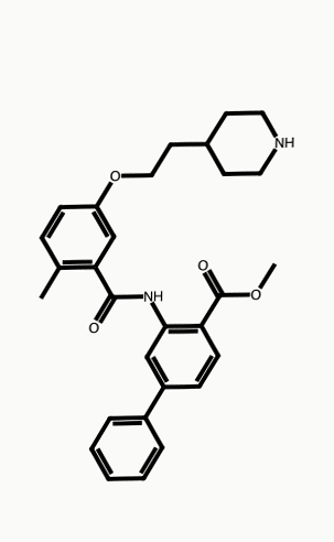 COC(=O)c1ccc(-c2ccccc2)cc1NC(=O)c1cc(OCCC2CCNCC2)ccc1C